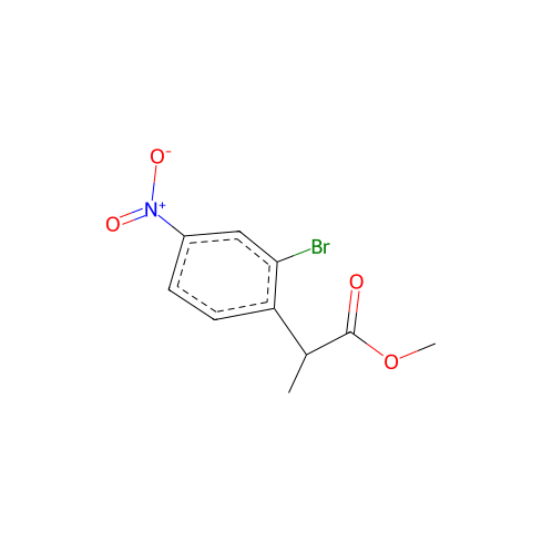 COC(=O)C(C)c1ccc([N+](=O)[O-])cc1Br